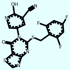 N#Cc1cc(-n2c(SCc3c(F)cc(F)cc3F)nc3ncsc3c2=O)cnc1O